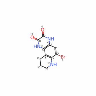 O=c1[nH]c2cc(Br)c3c(c2[nH]c1=O)CCCN3